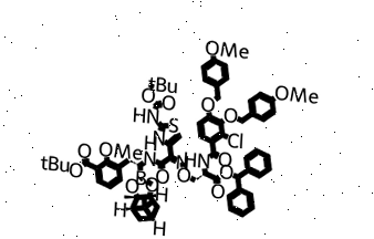 COc1ccc(COc2ccc(C(=O)N[C@@H](CO/N=C(\C(=O)N[C@@H](Cc3cccc(C(=O)OC(C)(C)C)c3OC)B3O[C@@H]4C[C@@H]5C[C@@H](C5(C)C)[C@]4(C)O3)c3csc(NC(=O)OC(C)(C)C)n3)C(=O)OC(c3ccccc3)c3ccccc3)c(Cl)c2OCc2ccc(OC)cc2)cc1